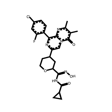 Cc1nc2c(-c3ccc(Cl)cc3F)nc(C3CCOC(C(=NO)NC(=O)C4CC4)C3)cn2c(=O)c1C